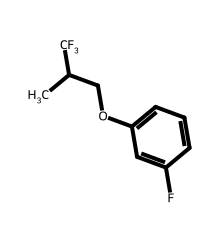 CC(COc1cccc(F)c1)C(F)(F)F